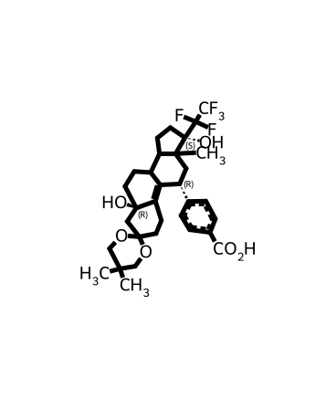 CC1(C)COC2(CCC3=C4C(CC[C@@]3(O)C2)C2CC[C@@](O)(C(F)(F)C(F)(F)F)C2(C)C[C@@H]4c2ccc(C(=O)O)cc2)OC1